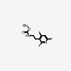 CC(C)(C)OC(=O)NCCc1c(I)cc(F)nc1F